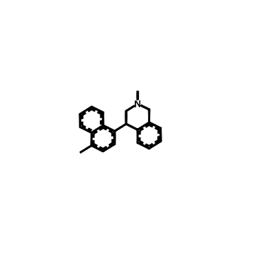 Cc1ccc(C2CN(C)Cc3ccccc32)c2ccccc12